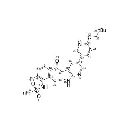 CCCS(=O)(=O)Nc1c(F)ccc(C(=O)c2c[nH]c3ncc(-c4cnc(OCC(C)(C)C)nc4)cc23)c1F